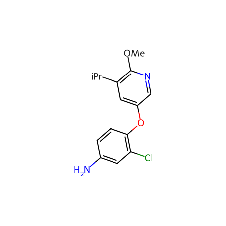 COc1ncc(Oc2ccc(N)cc2Cl)cc1C(C)C